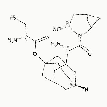 N#C[C@@H]1CC2CC2N1C(=O)[C@@H](N)C12CC3C[C@H](CC(OC(=O)[C@H](N)CS)(C3)C1)C2